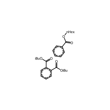 CC(C)COC(=O)c1ccccc1C(=O)OCC(C)C.CCCCCCOC(=O)c1ccccc1